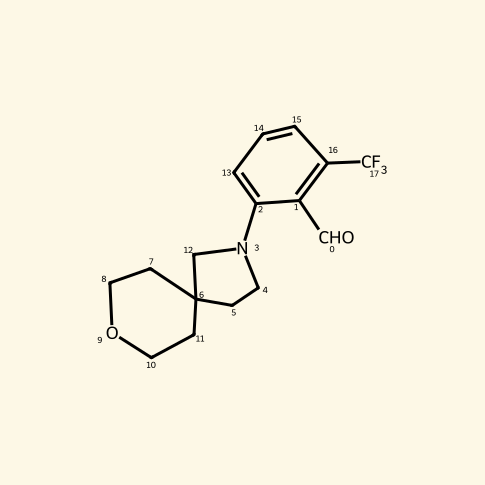 O=Cc1c(N2CCC3(CCOCC3)C2)cccc1C(F)(F)F